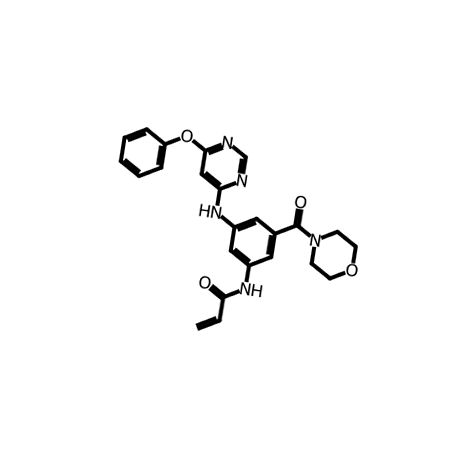 C=CC(=O)Nc1cc(Nc2cc(Oc3ccccc3)ncn2)cc(C(=O)N2CCOCC2)c1